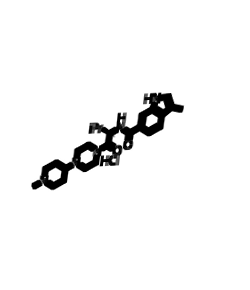 Cc1c[nH]c2cc(C(=O)N[C@@H](C(=O)N3CCN(C4CCN(C)CC4)CC3)C(C)C)ccc12.Cl